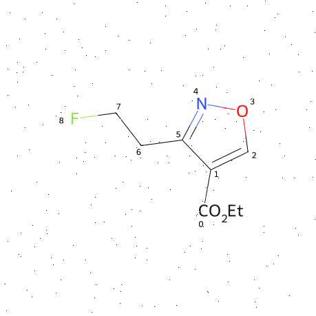 CCOC(=O)c1conc1CCF